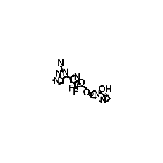 CN1CCC[C@H]1C(O)N1CC[C@H](OCCOc2ncc(-c3nc(C#N)nc4c3ccn4C)cc2C(F)(F)F)C1